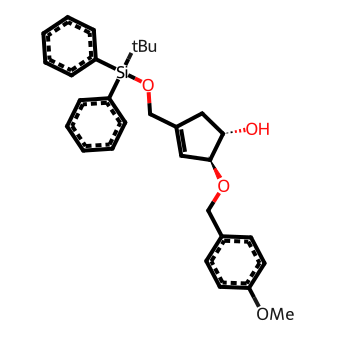 COc1ccc(CO[C@H]2C=C(CO[Si](c3ccccc3)(c3ccccc3)C(C)(C)C)C[C@@H]2O)cc1